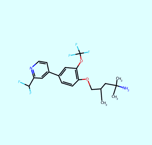 CC(COc1ccc(-c2ccnc(C(F)F)c2)cc1OC(F)(F)F)CC(C)(C)N